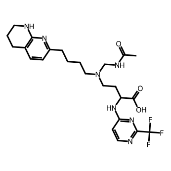 CC(=O)NCN(CCCCc1ccc2c(n1)NCCC2)CCC(Nc1ccnc(C(F)(F)F)n1)C(=O)O